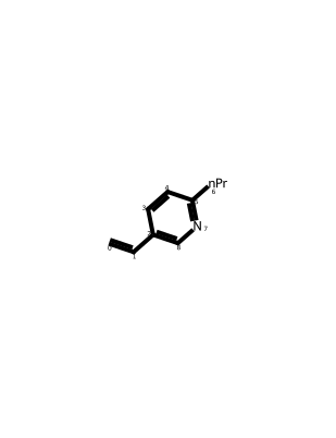 C=Cc1ccc(C[CH]C)nc1